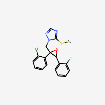 CC(=O)Sc1ncnn1CC1(c2ccccc2Cl)OC1c1ccccc1Cl